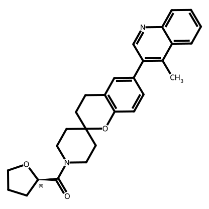 Cc1c(-c2ccc3c(c2)CCC2(CCN(C(=O)[C@H]4CCCO4)CC2)O3)cnc2ccccc12